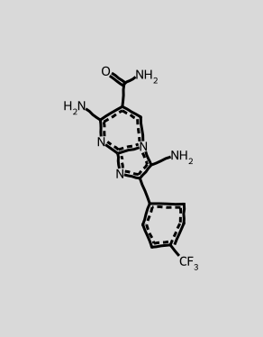 NC(=O)c1cn2c(N)c(-c3ccc(C(F)(F)F)cc3)nc2nc1N